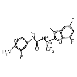 Cc1c([C@H](NC(=O)Nc2cnc(N)c(F)c2)C(F)(F)F)oc2c(F)cc(F)cc12